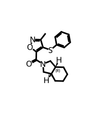 Cc1noc(C(=O)N2C[C@H]3CCCC[C@H]3C2)c1Sc1ccccc1